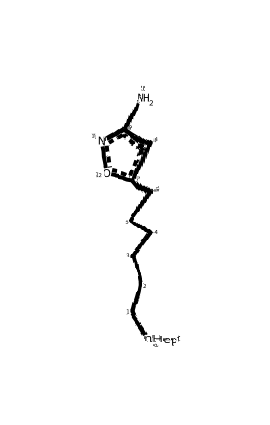 CCCCCCCCCCCCCc1cc(N)no1